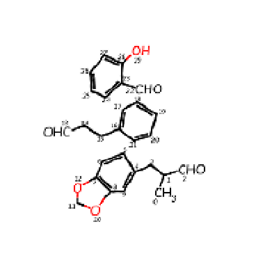 CC(C=O)Cc1ccc2c(c1)OCO2.O=CCCc1ccccc1.O=Cc1ccccc1O